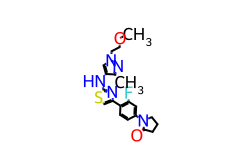 COCCn1cc(Nc2nc(-c3ccc(N4CCCC4=O)cc3F)cs2)c(C)n1